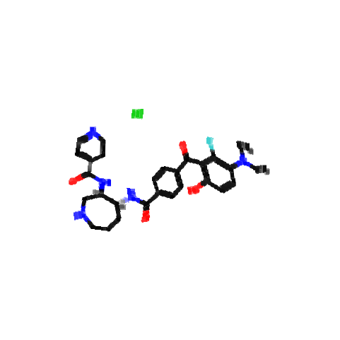 CN(C)c1ccc(O)c(C(=O)c2ccc(C(=O)N[C@@H]3CCCNC[C@H]3NC(=O)c3ccncc3)cc2)c1F.Cl